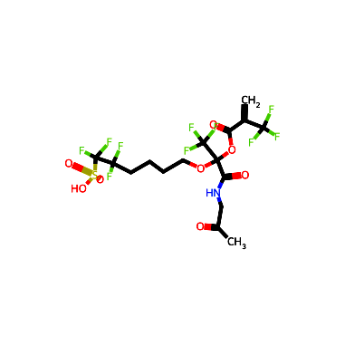 C=C(C(=O)OC(OCCCCC(F)(F)C(F)(F)S(=O)(=O)O)(C(=O)NCC(C)=O)C(F)(F)F)C(F)(F)F